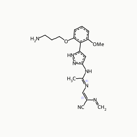 C=N/C(C#N)=C\N=C(/C)Nc1cc(-c2c(OC)cccc2OCCCN)[nH]n1